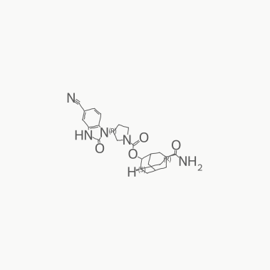 N#Cc1ccc2c(c1)[nH]c(=O)n2[C@@H]1CCN(C(=O)OC2C3CC4C[C@H]2C[C@@](C(N)=O)(C4)C3)C1